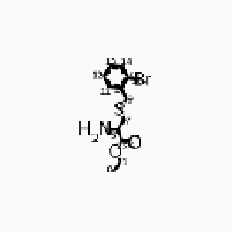 CCOC(=O)[C@@H](N)CSCc1ccccc1Br